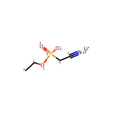 CCOP(=O)([O-])CC#N.[Li+]